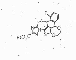 CCOC(=O)c1nc2n(n1)-c1sc3c(c1C(c1c(F)cccc1F)=N[C@H]2C)COCCO3